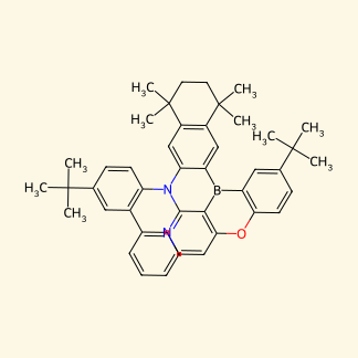 CC(C)(C)c1ccc2c(c1)B1c3cc4c(cc3N(c3ccc(C(C)(C)C)cc3-c3ccccc3)c3nccc(c31)O2)C(C)(C)CCC4(C)C